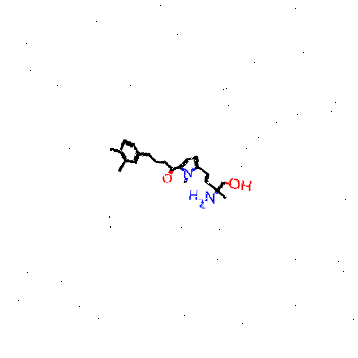 Cc1ccc(CCCC(=O)c2ccc(CCC(C)(N)CO)n2C)cc1C